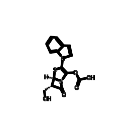 O=C(O)OC1=C(n2ccc3ccccc32)S[C@@H]2[C@@H](CO)C(=O)N12